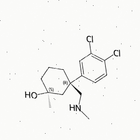 CNC[C@]1(c2ccc(Cl)c(Cl)c2)CCC[C@](C)(O)C1